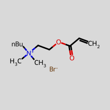 C=CC(=O)OCC[N+](C)(C)CCCC.[Br-]